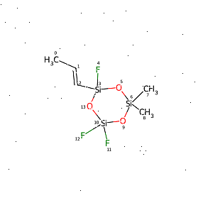 CC=C[Si]1(F)O[Si](C)(C)O[Si](F)(F)O1